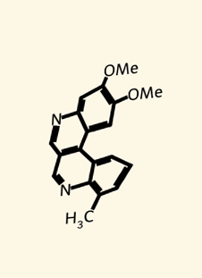 COc1cc2ncc3cnc4c(C)cccc4c3c2cc1OC